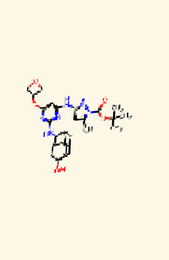 Cc1cc(Nc2cc(OC3COC3)nc(NC3C4CC5CC3CC(O)(C5)C4)n2)nn1C(=O)OC(C)(C)C